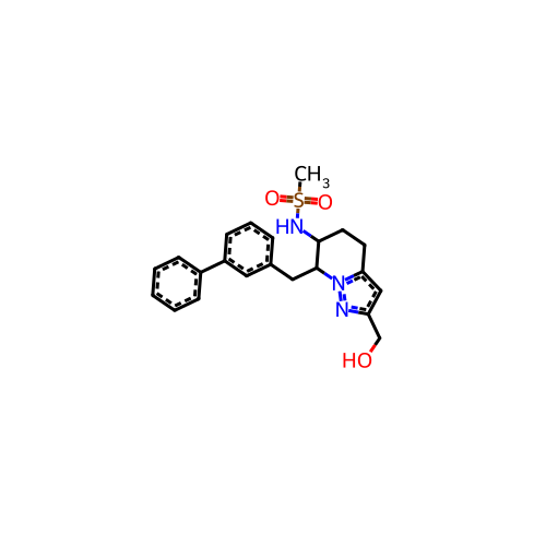 CS(=O)(=O)NC1CCc2cc(CO)nn2C1Cc1cccc(-c2ccccc2)c1